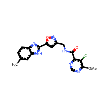 COc1ncnc(C(=O)NCc2cc(-c3nc4ccc(C(F)(F)F)cc4[nH]3)on2)c1Cl